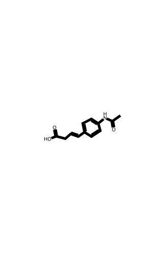 CC(=O)Nc1ccc(/C=C/CC(=O)O)cc1